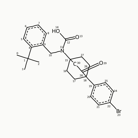 CC(C)(C)c1ccccc1CN(C(=O)O)C12CCC(c3ccc(Br)cc3)(CC1)C(=O)C2